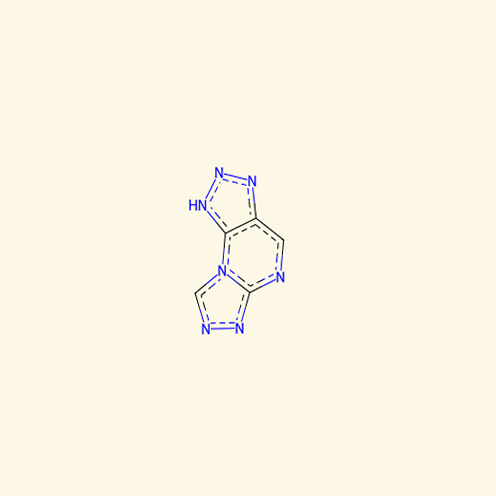 c1nc2nncn2c2[nH]nnc12